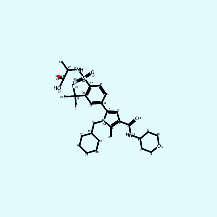 Cc1c(C(=O)NC2CCOCC2)cc(-c2ccc(S(=O)(=O)NC(C)C(C)(C)O)c(C(F)(F)F)c2)n1CC1CCCCC1